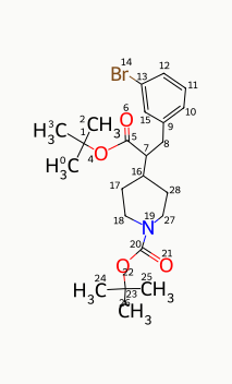 CC(C)(C)OC(=O)C(Cc1cccc(Br)c1)C1CCN(C(=O)OC(C)(C)C)CC1